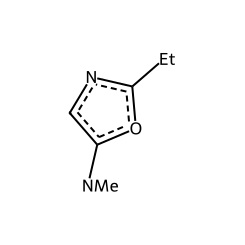 CCc1ncc(NC)o1